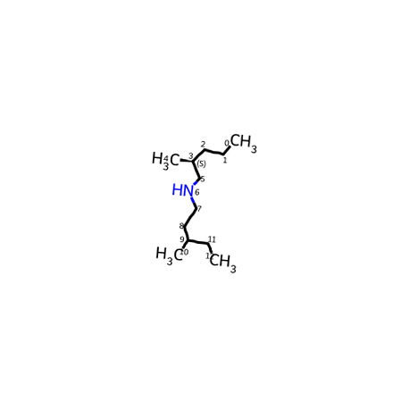 CCC[C@H](C)CNCCC(C)CC